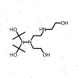 CC(C)(O)N(N(CCO)CCNCCO)C(C)(C)O